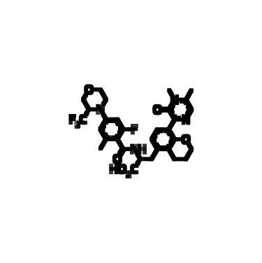 Cc1cc(N2CCOC[C@@H]2C(F)(F)F)cc(F)c1C(=O)N[C@@H](Cc1ccc(-c2ncc(C)n(C)c2=O)c2c1CCCO2)C(=O)O